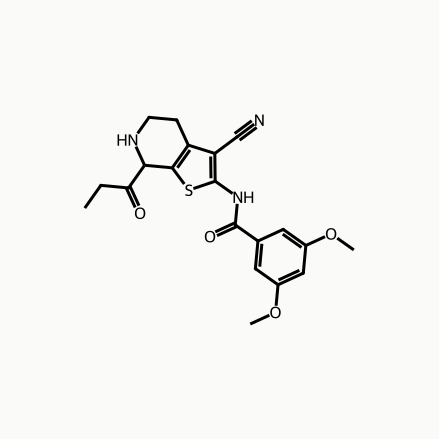 CCC(=O)C1NCCc2c1sc(NC(=O)c1cc(OC)cc(OC)c1)c2C#N